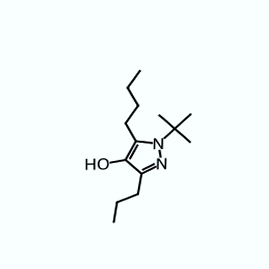 CCCCc1c(O)c(CCC)nn1C(C)(C)C